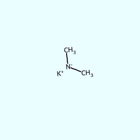 C[N-]C.[K+]